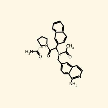 CC(=O)N(Cc1ccc2c(N)nccc2c1)C(C(=O)N1CCC[C@H]1C(N)=O)c1ccc2ccccc2c1